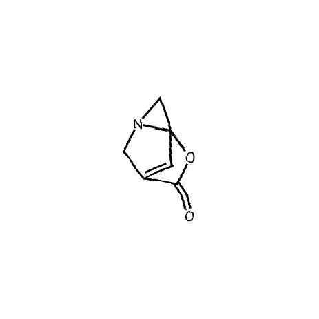 O=C1OC23C=C1CN2C3